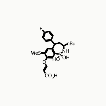 CCCCC1CC(c2ccc(F)cc2)c2cc(SC)c(O/C=C/C(=O)O)cc2S(O)(O)N1